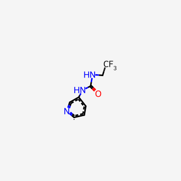 O=C(NCC(F)(F)F)Nc1cc[c]nc1